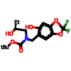 CC[C@H](O)CN(Cc1cc2c(cc1O)OC(F)(F)O2)C(=O)OC(C)(C)C